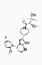 COc1ccc(F)cc1-c1ccnc2[nH]c(C3=CCN(C(=O)[C@H](O)C(C)(C)O)CC3)cc12